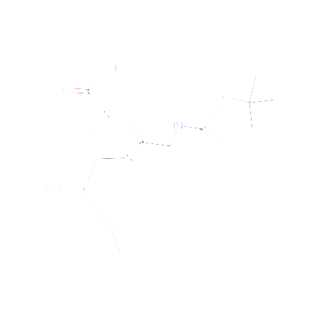 CC#C[C@H](O)[C@H](CNC(=O)O)NC(=O)CNC(=O)OC(C)(C)C